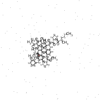 CCCCC(C)C(=O)N1CCC[C@H]1C(=O)N(C)C(Cc1ccccc1)C(=O)NCC(=O)N(C)[C@@H](C(=O)N[C@H](C(=O)NCC(=O)N(C)C(Cc1ccccc1)C(=O)N1CCC[C@H]1C(=O)OC)[C@@H](C)CC)C(C)C